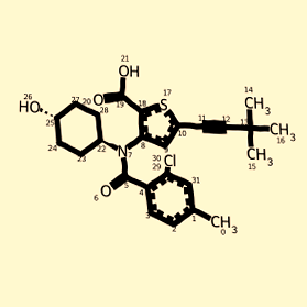 Cc1ccc(C(=O)N(c2cc(C#CC(C)(C)C)sc2C(=O)O)[C@H]2CC[C@H](O)CC2)c(Cl)c1